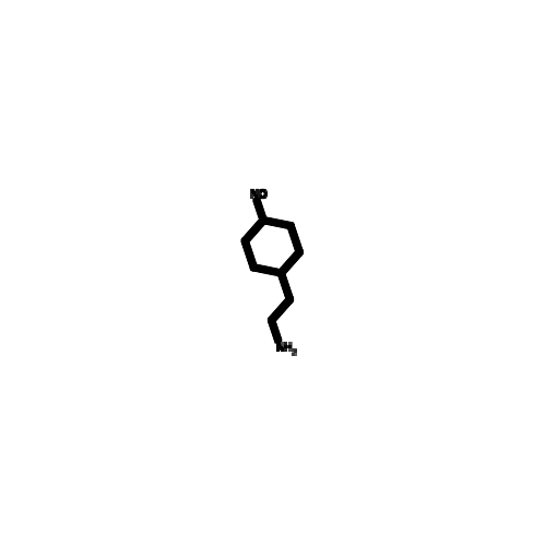 NCCC1CCC(N=O)CC1